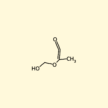 CC(=C=O)OCO